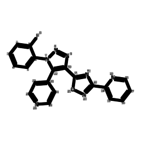 Fc1ccccc1-n1nnc(-c2nc(-c3ccccn3)no2)c1-c1ccncc1